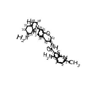 Cc1ccc2c(N)c(C(=O)N[C@H]3COc4cc(N5CC[C@@H]6CC[C@H](N)C[C@@H]65)ccc4C3)sc2n1